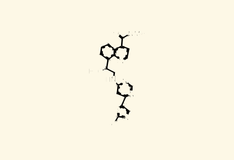 CNC(=O)c1ccnc2c([C@H](C)CNc3cc(-c4cnc(C)s4)ncn3)cccc12